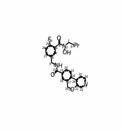 CC(C)CN(O)C(=O)c1cc(CNC(=O)c2ccc3c(c2)COc2cnccc2-3)ccc1F